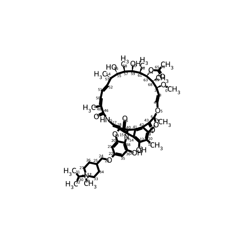 CO[C@H]1/C=C/O[C@@]2(C)Oc3c(C)c(O)c4c(=O)c(c5oc6cc(OCC7CC[N+](C)(C(C)C)CC7)cc(O)c6nc-5c4c3C2=O)NC(=O)/C(C)=C\C=C\[C@H](C)[C@H](O)[C@@H](C)[C@@H](O)[C@@H](C)[C@H](OC(C)=O)[C@@H]1C